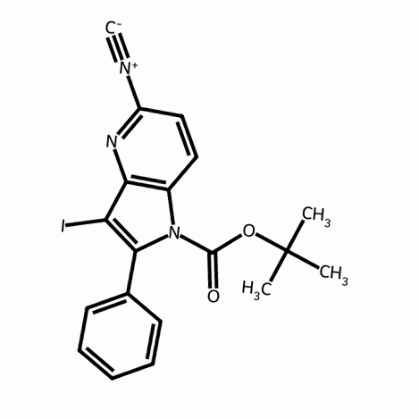 [C-]#[N+]c1ccc2c(n1)c(I)c(-c1ccccc1)n2C(=O)OC(C)(C)C